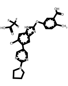 Cc1ccc(Oc2nc3cc(-c4cnc(N5CCCC5)nc4)c(Cl)cc3[nH]2)cc1C(=O)O.O=C(O)C(F)(F)F